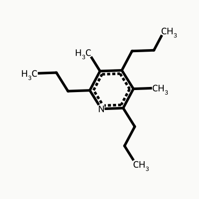 CCCc1nc(CCC)c(C)c(CCC)c1C